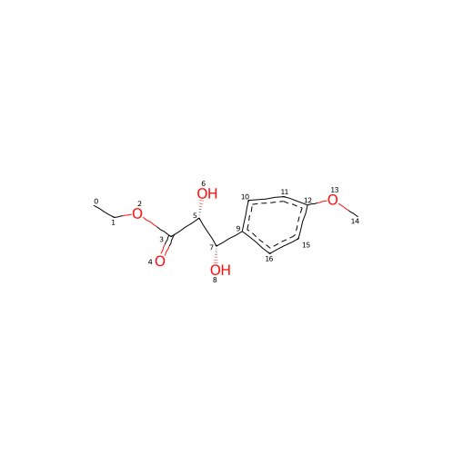 CCOC(=O)[C@H](O)[C@@H](O)c1ccc(OC)cc1